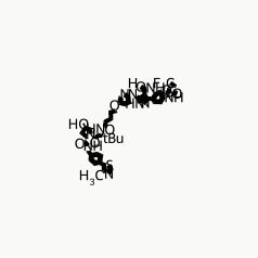 Cc1ncsc1-c1ccc(CNC(=O)[C@@H]2C[C@@H](O)CN2C(=O)C(NC(=O)CCCCOc2ccc(Nc3[nH]nc(-c4ccc(NS(=O)(=O)CC(F)(F)F)cc4)c3C(N)=O)nc2)C(C)(C)C)cc1